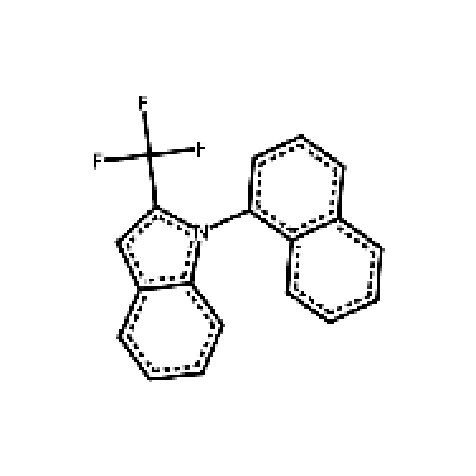 FC(F)(F)c1cc2ccccc2n1-c1cccc2ccccc12